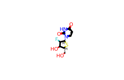 O=c1ccn([C@@H]2S[C@H](CO)C(O)C2F)c(=O)[nH]1